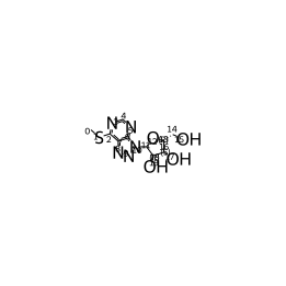 CSc1ncnc2c1nnn2C1O[C@H](CO)[C@@H](O)[C@H]1O